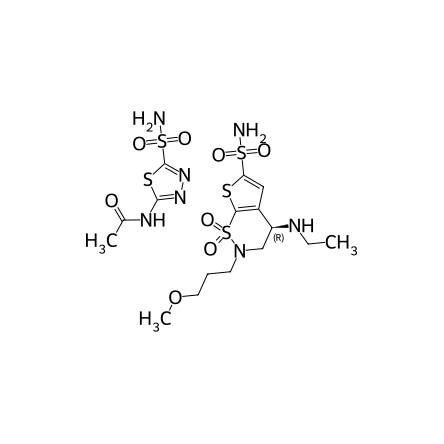 CC(=O)Nc1nnc(S(N)(=O)=O)s1.CCN[C@H]1CN(CCCOC)S(=O)(=O)c2sc(S(N)(=O)=O)cc21